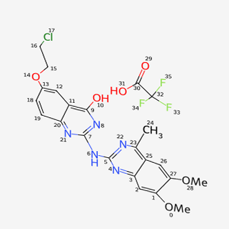 COc1cc2nc(Nc3nc(O)c4cc(OCCCl)ccc4n3)nc(C)c2cc1OC.O=C(O)C(F)(F)F